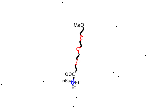 CCCC[N+](C)(CC)CC.COCCOCCOCCOCCC(=O)[O-]